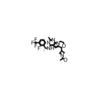 CC(=O)N1CC(C2OCCn3c2cc2c(N[C@H](C)c4cccc(C(F)(F)F)c4F)nc(C)nc23)C1